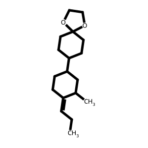 CC/C=C1/CCC(C2CCC3(CC2)OCCO3)CC1C